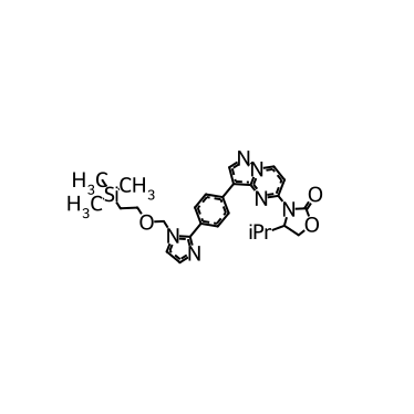 CC(C)C1COC(=O)N1c1ccn2ncc(-c3ccc(-c4nccn4COCC[Si](C)(C)C)cc3)c2n1